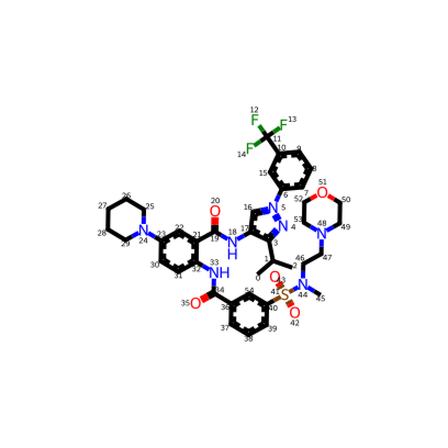 CC(C)c1nn(-c2cccc(C(F)(F)F)c2)cc1NC(=O)c1cc(N2CCCCC2)ccc1NC(=O)c1cccc(S(=O)(=O)N(C)CCN2CCOCC2)c1